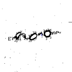 CCC[C@H]1CC[C@H](/C=C/C#C[C@H]2CC[C@H](COc3ccc(CC)cc3)CC2)CC1